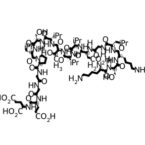 CC(C)C[C@H](NC(=O)[C@H](CCCCN)NC(=O)[C@H](CO)NC(=O)[C@@H](N)CCCCN)C(=O)NCC(=O)N[C@@H](CC(=O)O)C(=O)N[C@H](C(=O)N[C@H](C(=O)N[C@H](C(=O)N[C@H](C(=O)N[C@@H](CO)C(=O)N[C@@H](CC(C)C)C(=O)N1CCC[C@H]1C(=O)NCC(=O)NCC(=O)N[C@@H](CCC(=O)O)C(=O)N[C@@H](CCC(=O)O)C(=O)O)C(C)C)[C@@H](C)O)C(C)C)C(C)C